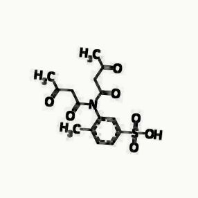 CC(=O)CC(=O)N(C(=O)CC(C)=O)c1cc(S(=O)(=O)O)ccc1C